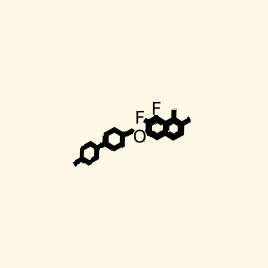 Cc1ccc2cc(OCC3CCC(C4CCC(C)CC4)CC3)c(F)c(F)c2c1C